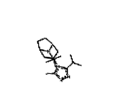 Cc1nnc(C(C)C)n1C1CC2CCC(C1)N2C(C)(C)C